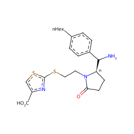 CCCCCCc1ccc(C(N)[C@H]2CCC(=O)N2CCSc2nc(C(=O)O)cs2)cc1